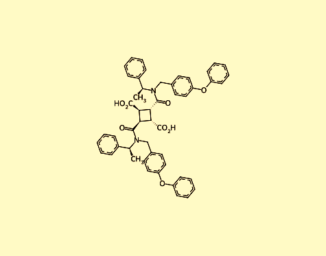 C[C@@H](c1ccccc1)N(Cc1ccc(Oc2ccccc2)cc1)C(=O)[C@H]1[C@H](C(=O)O)[C@H](C(=O)N(Cc2ccc(Oc3ccccc3)cc2)[C@@H](C)c2ccccc2)[C@H]1C(=O)O